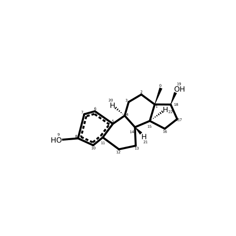 C[C@]12CC[C@@H]3c4ccc(O)cc4CC[C@H]3[C@@H]1C[CH][C@@H]2O